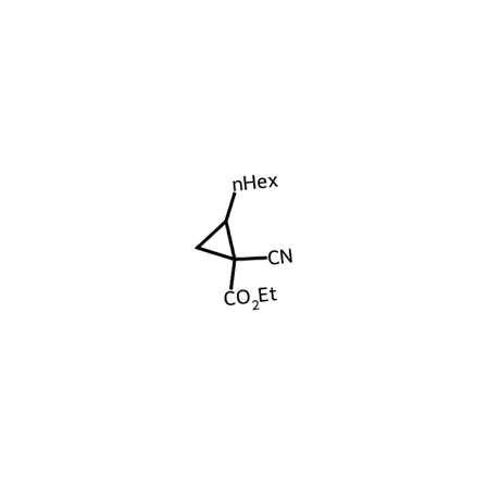 CCCCCCC1CC1(C#N)C(=O)OCC